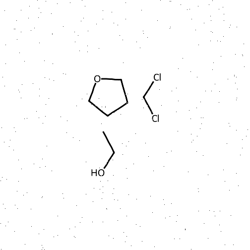 C1CCOC1.CCO.ClCCl